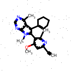 C#Cc1cc(OC)c(-c2c(C3=CCCCC3)c3c(C)ncnc3n2C)c(C)n1